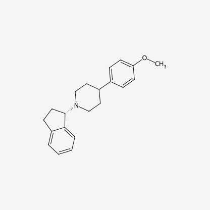 COc1ccc(C2CCN([C@H]3CCc4ccccc43)CC2)cc1